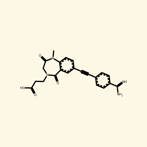 CN1C(=O)CN(CCC(=O)O)C(=O)c2cc(C#Cc3ccc(C(=N)N)cc3)ccc21